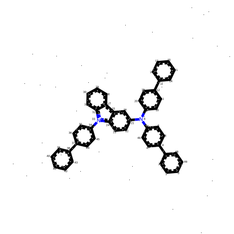 c1ccc(-c2ccc(N(c3ccc(-c4ccccc4)cc3)c3ccc4c(c3)c3ccccc3n4-c3ccc(-c4ccccc4)cc3)cc2)cc1